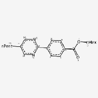 CCCCCCOC(=O)c1ccc(-c2ncc(CCCCC)cn2)cc1